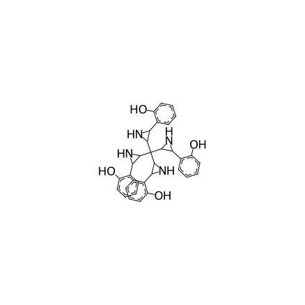 Oc1ccccc1C1NC1C(C1NC1c1ccccc1O)(C1NC1c1ccccc1O)C1NC1c1ccccc1O